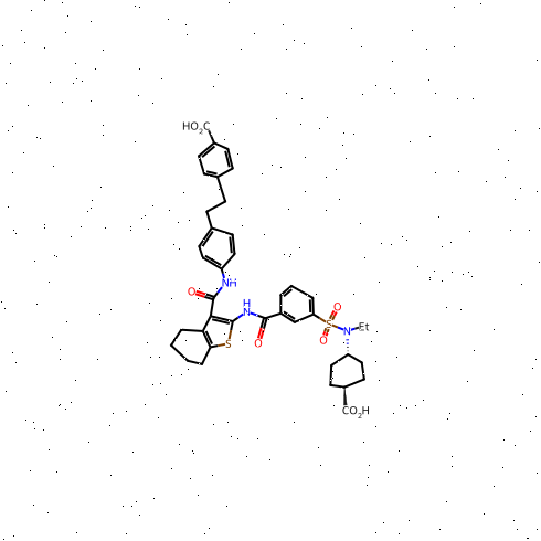 CCN([C@H]1CC[C@H](C(=O)O)CC1)S(=O)(=O)c1cccc(C(=O)Nc2sc3c(c2C(=O)Nc2ccc(CCc4ccc(C(=O)O)cc4)cc2)CCCC3)c1